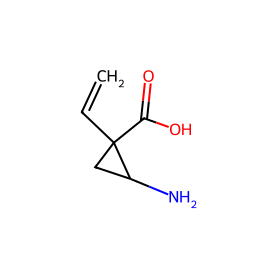 C=CC1(C(=O)O)CC1N